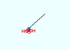 CCCCCCCCCCCCCCCCCCCN(C)C(C)(O)C(=O)OO